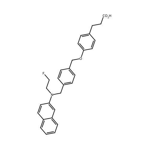 O=C(O)CCc1ccc(OCc2ccc(CN(CCF)c3ccc4ccccc4c3)cc2)cc1